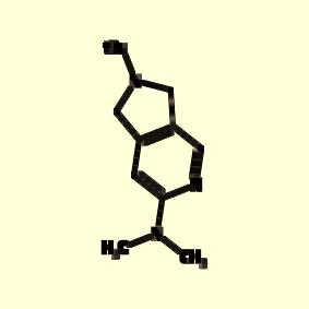 CN(C)c1cc2c(cn1)CN(C(C)(C)C)C2